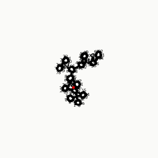 c1ccc(C2(c3ccccc3)c3ccccc3-c3ccc(-c4ccccc4-n4c5ccccc5c5cc(-c6cc(-c7ccc8c(c7)c7ccccc7n8-c7cccc8c7sc7ccccc78)cc(-n7c8ccccc8c8ccccc87)c6)ccc54)cc32)cc1